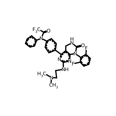 CN(C)CCNc1nc(-c2ccc(N(C(=O)C(F)(F)F)c3ccccc3)cc2)c2c(n1)N(c1c(F)cccc1F)C(=O)NC2